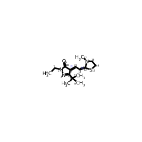 CCN1N=C(C(C)(C)C)/C(=C\C=C2\SCCN2C)C1=O